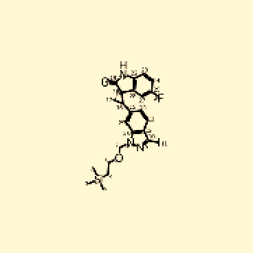 C[Si](C)(C)CCOCn1nc(I)c2ccc(C3C[C@@]34C(=O)Nc3ccc(F)cc34)cc21